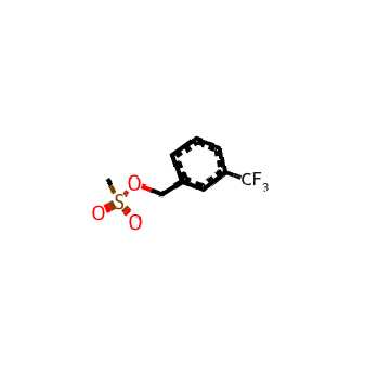 CS(=O)(=O)OCc1cccc(C(F)(F)F)c1